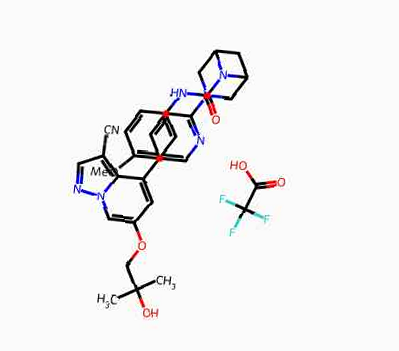 COc1ccc(NC(=O)N2C3CC2CN(c2ccc(-c4cc(OCC(C)(C)O)cn5ncc(C#N)c45)cn2)C3)cc1.O=C(O)C(F)(F)F